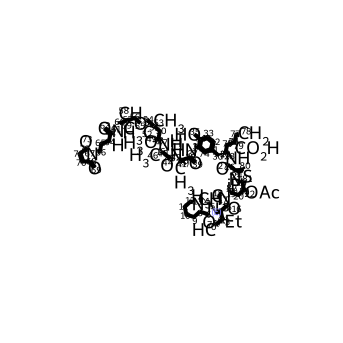 C#C[C@@H](CC)/C(=N\C(=O)C1CCCCN1C)C(=O)N(C)[C@H](C[C@@H](OC(C)=O)c1nc(C(=O)N[C@@H](Cc2ccc(O)c(NC(=O)[C@H](C)NC(=O)[C@H](C)NC(=O)CC(C)(C)COCC(C)(C)CNC(=O)CCCN3C(=O)C=CC3=O)c2)C[C@H](C=C)C(=O)O)cs1)C(C)C